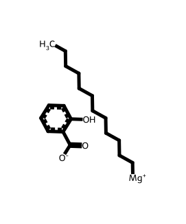 CCCCCCCCCCC[CH2][Mg+].O=C([O-])c1ccccc1O